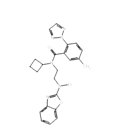 CCN(CCN(C(=O)c1cc(C)ccc1-n1nccn1)C1CCC1)c1nc2ccccc2o1